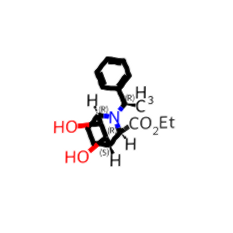 CCOC(=O)[C@H]1[C@@H]2CC[C@H](C(O)C2O)N1[C@H](C)c1ccccc1